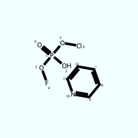 O=P(O)(OF)OCl.c1ccncc1